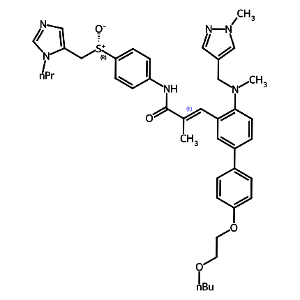 CCCCOCCOc1ccc(-c2ccc(N(C)Cc3cnn(C)c3)c(/C=C(\C)C(=O)Nc3ccc([S@@+]([O-])Cc4cncn4CCC)cc3)c2)cc1